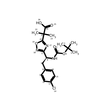 CC(C)(C)OC(=O)N[C@@H](Cc1ccc(Cl)cc1)c1noc(C(C)(C)C(=O)O)n1